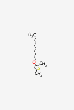 CCCCCCCCCCOc1cc(C)sc1C